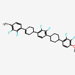 CCCc1ccc(C2=CCC(c3ccc(C4CCC(c5ccc(OCC)c(F)c5F)CC4)c(F)c3F)CC2)c(F)c1F